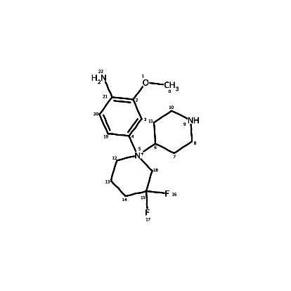 COc1cc([N+]2(C3CCNCC3)CCCC(F)(F)C2)ccc1N